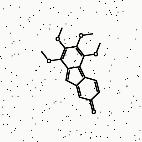 COc1c(OC)c(OC)c2c(c1OC)=CC1=CC(=O)C=CC=21